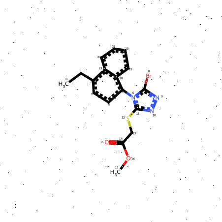 CCc1ccc(-n2c(Br)nnc2SCC(=O)OC)c2ccccc12